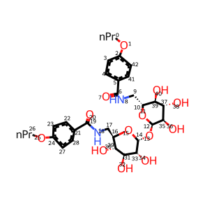 CCCOc1ccc(C(=O)NC[C@H]2O[C@H](O[C@H]3O[C@H](CNC(=O)c4ccc(OCCC)cc4)[C@@H](O)[C@H](O)[C@H]3O)[C@H](O)[C@@H](O)[C@@H]2O)cc1